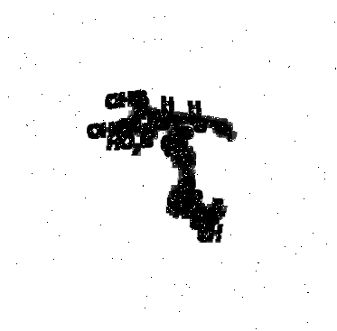 C#C[C@H]1CC(F)(F)CN1C(=O)CNC(=O)c1ccnc2ccc(OCCCCN3CCN(C(=O)CN4C(=O)CC(SC[C@H](CCCCNC(=O)CCCc5ccc(I)cc5)NC(=O)CN5CCN(COC=O)CCN(COC=O)CCN(CC(=O)O)CC5)C4=O)CC3)cc12